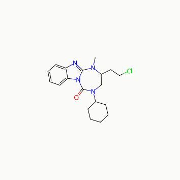 CN1c2nc3ccccc3n2C(=O)N(C2CCCCC2)CC1CCCl